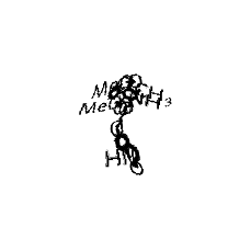 COC(=O)C1=C(C)NC(COCCCOc2ccc3[nH]c(=O)ccc3c2)=C(C(=O)OC)C1c1ccccc1Cl